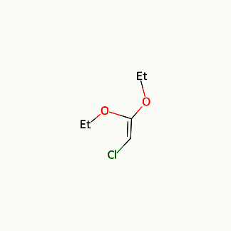 CCOC(=CCl)OCC